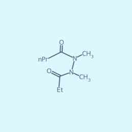 CCCC(=O)N(C)N(C)C(=O)CC